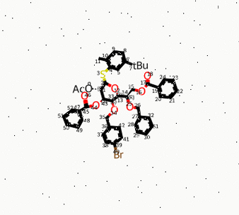 CC(=O)O[C@@H]1C(Sc2cc(C(C)(C)C)ccc2C)O[C@H]([C@@H](COC(=O)c2ccccc2)OCc2ccccc2)[C@@H](OCc2ccc(Br)cc2)[C@@H]1OC(=O)c1ccccc1